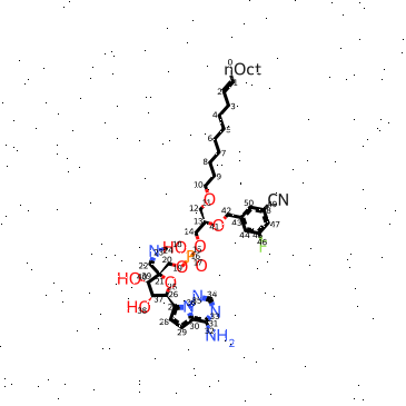 CCCCCCCC/C=C/CCCCCCCCOC[C@H](COP(=O)(O)OC[C@@]1(/C=N\C)O[C@@H](c2ccc3c(N)ncnn23)[C@H](O)[C@@H]1O)OCc1cc(F)cc(C#N)c1